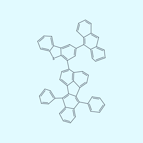 c1ccc(-c2c3c(c(-c4ccccc4)c4ccccc24)-c2ccc(-c4cc(-c5c6ccccc6cc6ccccc56)cc5c4sc4ccccc45)c4cccc-3c24)cc1